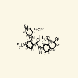 CCN1CCC(Nc2cc(C(F)(F)F)ccc2C(=O)Nc2ccc3c(c2)N(C)C(=O)CC3)CC1.Cl